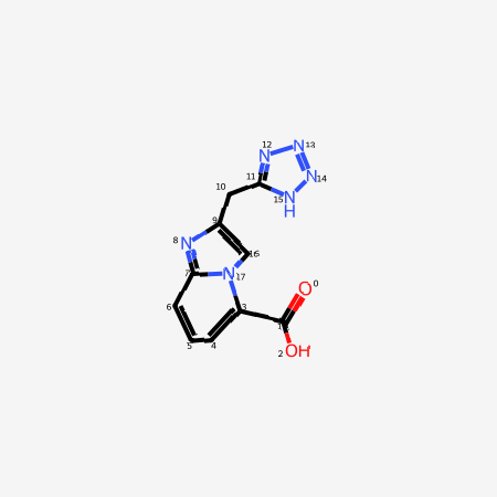 O=C(O)c1cccc2nc(Cc3nnn[nH]3)cn12